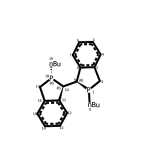 CCCCP1Cc2ccccc2[C@@H]1[C@H]1c2ccccc2C[P@]1CCCC